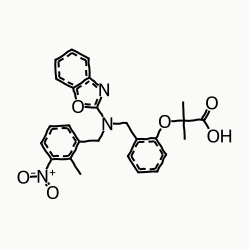 Cc1c(CN(Cc2ccccc2OC(C)(C)C(=O)O)c2nc3ccccc3o2)cccc1[N+](=O)[O-]